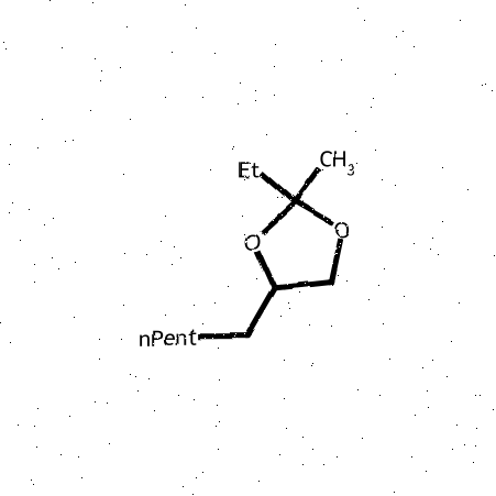 CCCCCCC1COC(C)(CC)O1